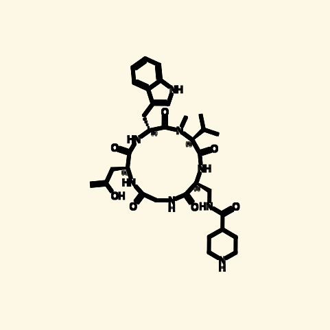 C=C(O)C[C@@H]1NC(=O)CNC(=O)[C@H](CNC(=O)C2CCNCC2)NC(=O)[C@H](C(C)C)N(C)C(=O)[C@@H](Cc2c[nH]c3ccccc23)NC1=O